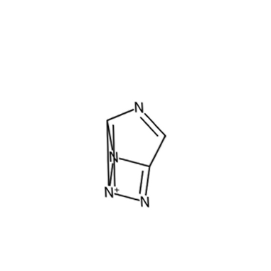 c1nc2n3c1n[n+]2-3